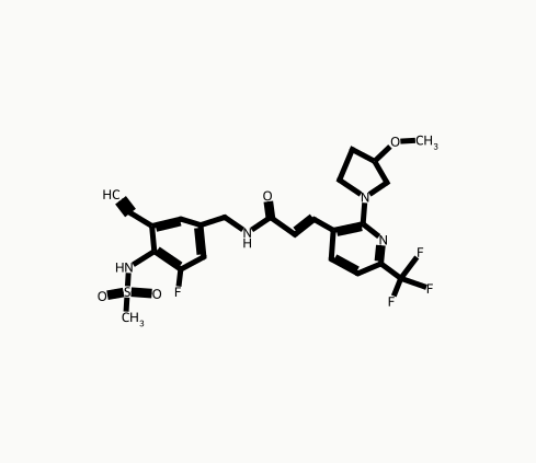 C#Cc1cc(CNC(=O)/C=C/c2ccc(C(F)(F)F)nc2N2CCC(OC)C2)cc(F)c1NS(C)(=O)=O